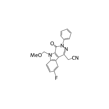 COCn1c2ccc(F)cc2c2c(CC#N)nn(-c3ccccc3)c(=O)c21